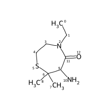 CCN1CCSC(C)(C)C(N)C1=O